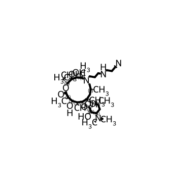 CC[C@H]1OC(=O)[C@H](C)[C@@H](O)[C@H](C)[C@@H](O[C@@H]2O[C@H](C)C[C@H](N(C)C)[C@H]2O)[C@](C)(O)C[C@@H](C)CN(CCCNCCC#N)[C@H](C)[C@@H](O)[C@]1(C)O